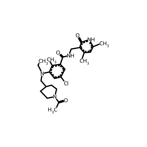 CCN(CC1CCN(C(C)=O)CC1)c1cc(Cl)cc(C(=O)NCc2c(C)cc(C)[nH]c2=O)c1C